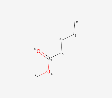 C[CH]CCC(=O)OC